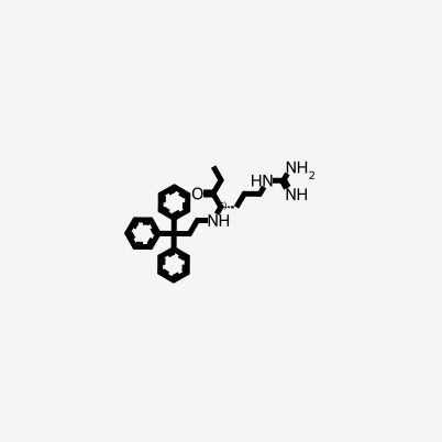 CCC(=O)[C@H](CCCNC(=N)N)NCCC(c1ccccc1)(c1ccccc1)c1ccccc1